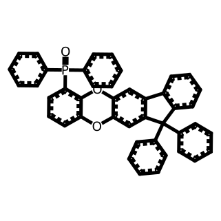 O=P(c1ccccc1)(c1ccccc1)c1cccc2c1Oc1cc3c(cc1O2)C(c1ccccc1)(c1ccccc1)c1ccccc1-3